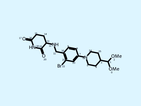 COC(OC)C1CCN(c2ccc(CNC3CCC(=O)NC3=O)c(Br)c2)CC1